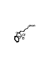 CCCCCCCCCCCCCC(Oc1ccccc1)[Si](Cl)(Cl)Cl